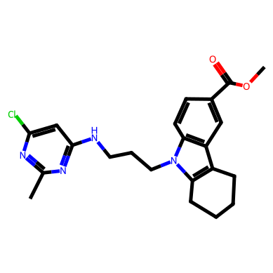 COC(=O)c1ccc2c(c1)c1c(n2CCCNc2cc(Cl)nc(C)n2)CCCC1